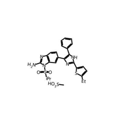 CCc1ccc(-c2nc(-c3ccc4nc(N)n(S(=O)(=O)C(C)C)c4c3)c(-c3ccccc3)[nH]2)s1.CS(=O)(=O)O